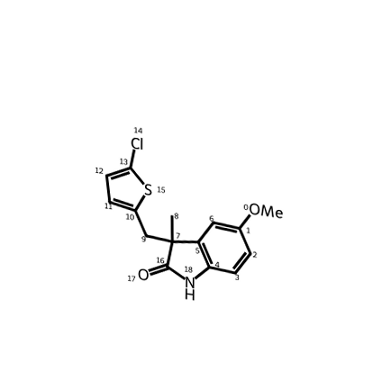 COc1ccc2c(c1)C(C)(Cc1ccc(Cl)s1)C(=O)N2